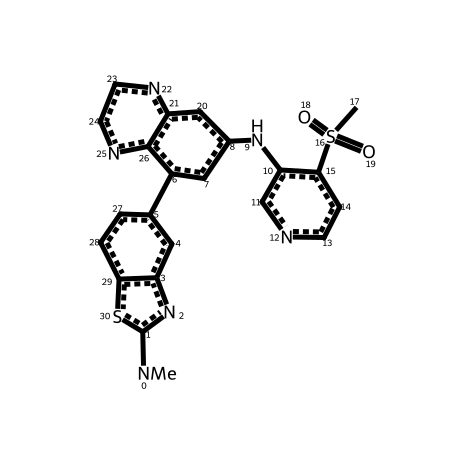 CNc1nc2cc(-c3cc(Nc4cnccc4S(C)(=O)=O)cc4nccnc34)ccc2s1